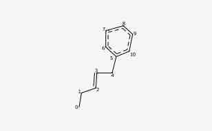 CC/C=C/Cc1c[c]ccc1